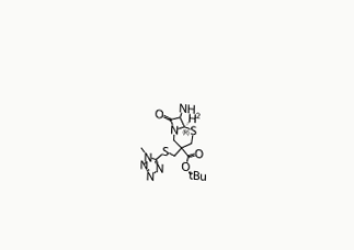 Cn1nnnc1SCC1(C(=O)OC(C)(C)C)CS[C@@H]2C(N)C(=O)N2C1